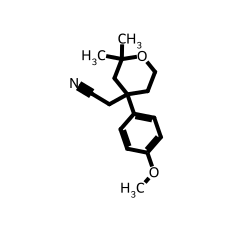 COc1ccc(C2(CC#N)CCOC(C)(C)C2)cc1